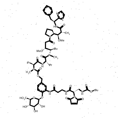 CC[C@H](C)[C@@H]([C@@H](CC(=O)N1CCC[C@H]1[C@H](OC)[C@@H](C)C(=O)N[C@@H](Cc1ccccc1)c1nccs1)OC)N(C)C(=O)[C@@H](NC(=O)[C@H](C(C)C)N(C)C(=O)OCc1ccc(O[C@@H]2O[C@H](C(=O)O)[C@@H](O)[C@H](O)[C@H]2O)c(NC(=O)CCNC(=O)[C@H](CNC(=O)OC(C)(C)C)N2C(=O)C=CC2=O)c1)C(C)C